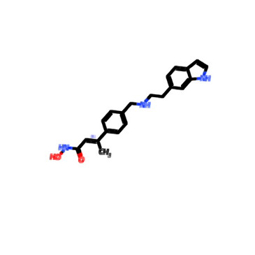 C/C(=C\C(=O)NO)c1ccc(CNCCc2ccc3cc[nH]c3c2)cc1